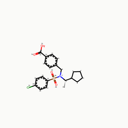 C[C@@H](C1CCCC1)N(Cc1ccc(C(=O)O)cc1)S(=O)(=O)c1ccc(Cl)cc1